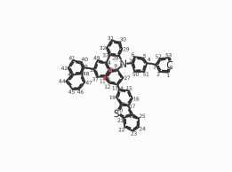 c1ccc(-c2ccc(N(c3cccc(-c4ccc5c(c4)sc4ccccc45)c3)c3ccccc3-c3cccc(-c4cccc5ccccc45)c3)cc2)cc1